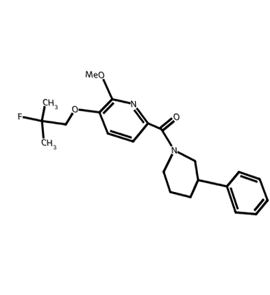 COc1nc(C(=O)N2CCCC(c3ccccc3)C2)ccc1OCC(C)(C)F